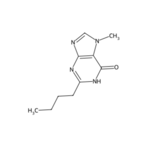 CCCCc1nc2ncn(C)c2c(=O)[nH]1